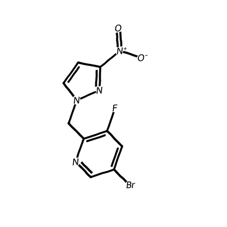 O=[N+]([O-])c1ccn(Cc2ncc(Br)cc2F)n1